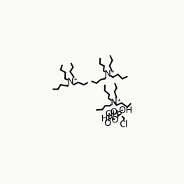 CCCC[N+](CCCC)(CCCC)CCCC.CCCC[N+](CCCC)(CCCC)CCCC.CCCC[N+](CCCC)(CCCC)CCCC.O=[PH](O)OP(=O)(O)CCl